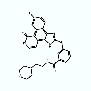 O=C(NCCC1CCOCC1)c1cncc(Sc2nc3c4ccc(F)cc4c4c(=O)[nH]ccc4c3[nH]2)c1